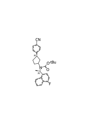 C[C@H](c1ccc(F)c2ccccc12)N(C(=O)OC(C)(C)C)C1CC[C@@H](c2ccc(C#N)cc2)C1